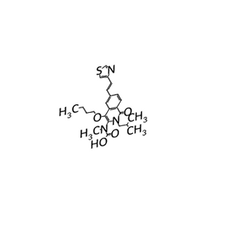 CCCCOc1c(N(C)C(=O)O)n(CC(C)C)c(=O)c2ccc(/C=C/c3cscn3)cc12